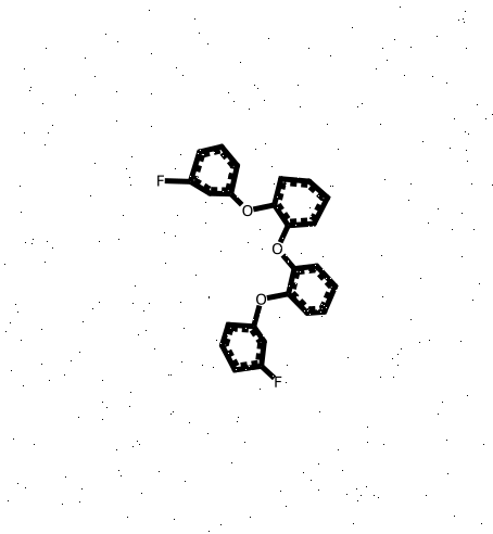 Fc1cccc(Oc2ccccc2Oc2ccccc2Oc2cccc(F)c2)c1